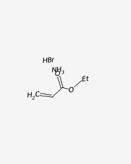 Br.C=CC(=O)OCC.N